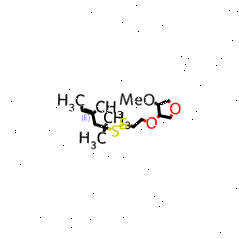 C/C=C(\C)CC(C)(C)SSCCOC1COCC1OC